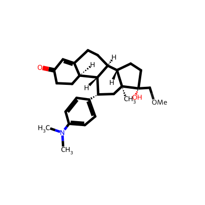 COC[C@]1(O)CC[C@H]2[C@@H]3CCC4=CC(=O)CC[C@@H]4[C@H]3[C@@H](c3ccc(N(C)C)cc3)C[C@@]21C